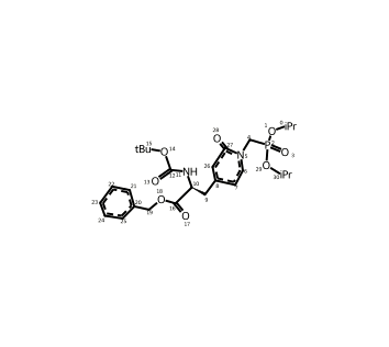 CC(C)OP(=O)(Cn1ccc(C[C@H](NC(=O)OC(C)(C)C)C(=O)OCc2ccccc2)cc1=O)OC(C)C